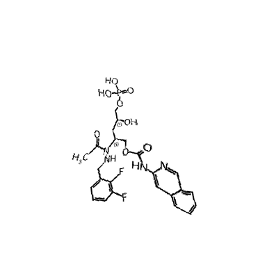 CC(=O)N(NCc1cccc(F)c1F)[C@H](COC(=O)Nc1cc2ccccc2cn1)C[C@H](O)COP(=O)(O)O